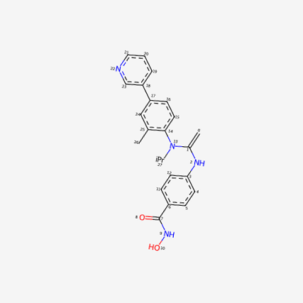 C=C(Nc1ccc(C(=O)NO)cc1)N(c1ccc(-c2cccnc2)cc1C)C(C)C